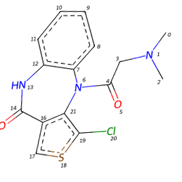 CN(C)CC(=O)N1c2ccccc2NC(=O)c2csc(Cl)c21